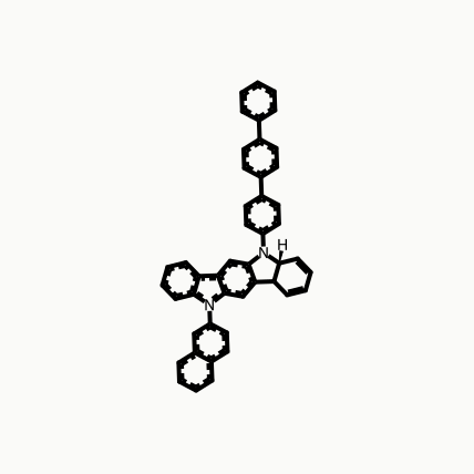 C1=CC2c3cc4c(cc3N(c3ccc(-c5ccc(-c6ccccc6)cc5)cc3)[C@@H]2C=C1)c1ccccc1n4-c1ccc2ccccc2c1